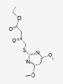 CCOC(=O)CC(=O)CSc1nc(OC)cc(OC)n1